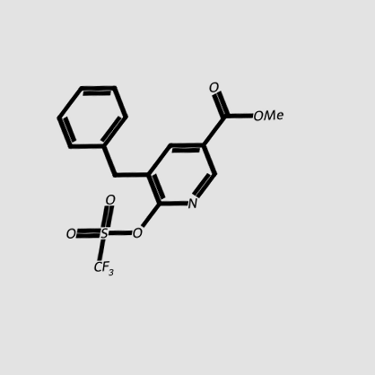 COC(=O)c1cnc(OS(=O)(=O)C(F)(F)F)c(Cc2ccccc2)c1